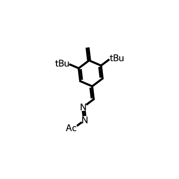 C=c1c(C(C)(C)C)cc(=C/N=N/C(C)=O)cc1C(C)(C)C